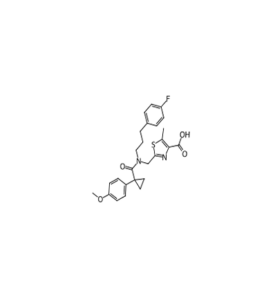 COc1ccc(C2(C(=O)N(CCCc3ccc(F)cc3)Cc3nc(C(=O)O)c(C)s3)CC2)cc1